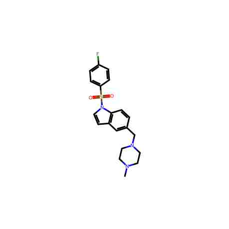 CN1CCN(Cc2ccc3c(ccn3S(=O)(=O)c3ccc(F)cc3)c2)CC1